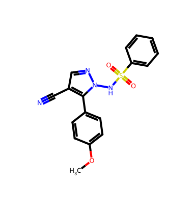 COc1ccc(-c2c(C#N)cnn2NS(=O)(=O)c2ccccc2)cc1